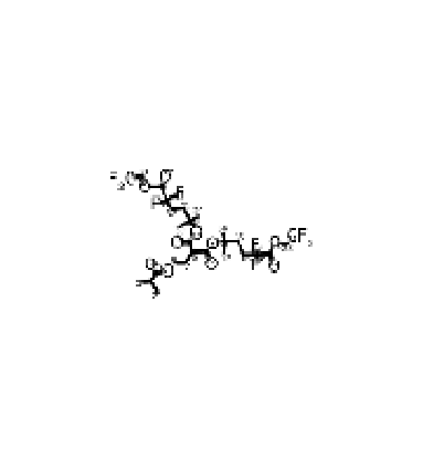 C=C(C)C(=O)OCCC(C(=O)OC(C)(C)CCC(F)(F)C(=O)OCC(F)(F)F)C(=O)OC(C)(C)CCC(F)(F)C(=O)OCC(F)(F)F